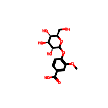 COc1cc(C(=O)O)ccc1OC1O[C@H](CO)[C@@H](O)[C@H](O)[C@H]1O